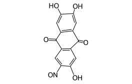 O=Nc1cc2c(cc1O)C(=O)c1cc(O)c(O)cc1C2=O